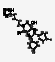 Cc1ccc(-c2nc3c(nc2-c2ccc(C)cc2)C(C(C)C)N(CCCCc2nnn[nH]2)CC3O)cc1